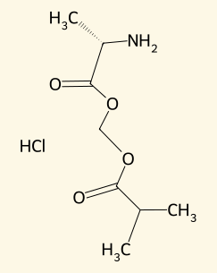 CC(C)C(=O)OCOC(=O)[C@H](C)N.Cl